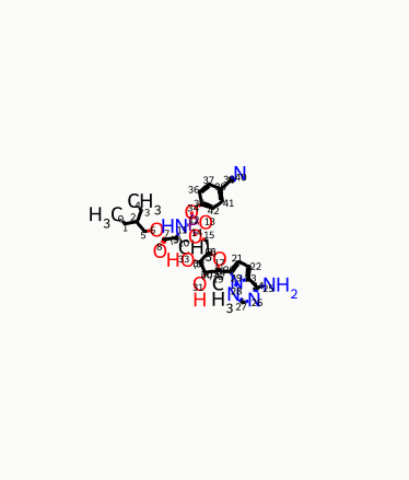 CCC(CC)COC(=O)[C@H](C)NP(=O)(OC[C@H]1O[C@@](C)(c2ccc3c(N)ncnn23)[C@H](O)[C@@H]1O)Oc1ccc(C#N)cc1